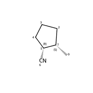 C[C@H]1CCC[C@H]1C#N